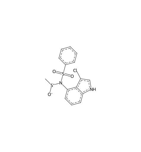 C[S+]([O-])N(c1cccc2[nH]cc(Cl)c12)S(=O)(=O)c1ccccc1